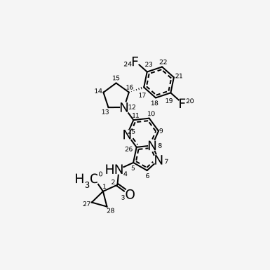 CC1(C(=O)Nc2cnn3ccc(N4CCC[C@@H]4c4cc(F)ccc4F)nc23)CC1